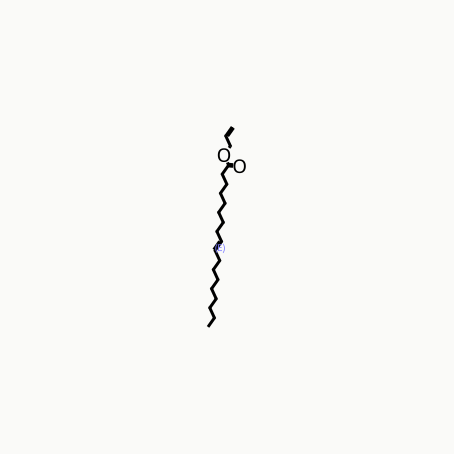 C=CCOC(=O)CCCCCCC/C=C/CCCCCCCC